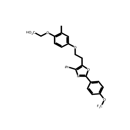 Cc1cc(OCCc2oc(-c3ccc(OC(F)(F)F)cc3)nc2C(C)C)ccc1OCC(=O)O